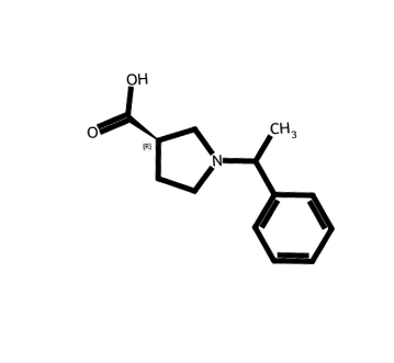 CC(c1ccccc1)N1CC[C@@H](C(=O)O)C1